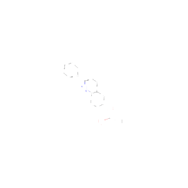 CCC(=O)Oc1ccc2nc(-c3ccccc3)ccc2c1